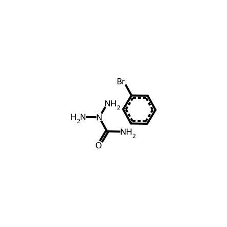 Brc1ccccc1.NC(=O)N(N)N